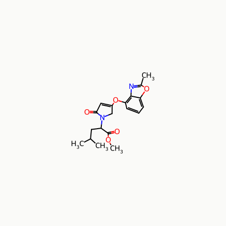 COC(=O)C(CC(C)C)N1CC(Oc2cccc3oc(C)nc23)=CC1=O